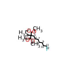 COC(=O)C(CCCCCCCF)(C(=O)OC)C(C)C